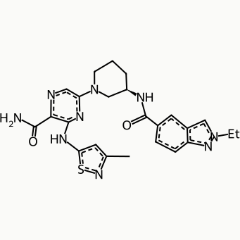 CCn1cc2cc(C(=O)N[C@@H]3CCCN(c4cnc(C(N)=O)c(Nc5cc(C)ns5)n4)C3)ccc2n1